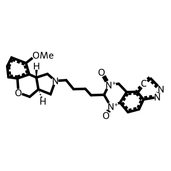 COc1cccc2c1[C@@H]1CN(CCCCC3[N+](=O)Cc4c(ccc5nnccc45)[N+]3=O)C[C@H]1CO2